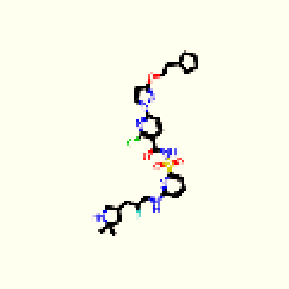 CC1(C)CC(CC(F)CNc2cccc(S(=O)(=O)NC(=O)c3ccc(-n4ccc(OCCC5CCCC5)n4)nc3Cl)n2)CN1